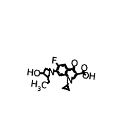 CCC1C(O)CN1c1cc2c(cc1F)c(=O)c(C(=O)O)cn2C1CC1